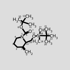 C=C1CCCN(C(=O)OC(C)(C)C)C1CO[Si](C)(C)C(C)(C)C